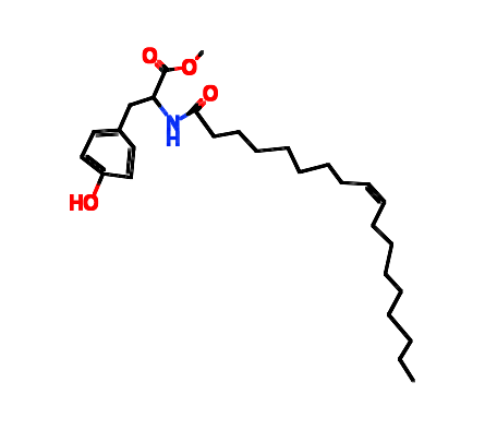 CCCCCCCC/C=C\CCCCCCCC(=O)NC(Cc1ccc(O)cc1)C(=O)OC